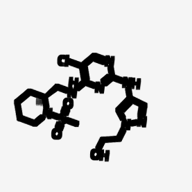 CS(=O)(=O)N1CCCC[C@H]1CNc1nc(Nc2cnn(CCO)c2)ncc1Cl